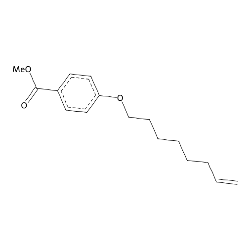 C=CCCCCCCOc1ccc(C(=O)OC)cc1